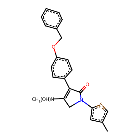 Cc1csc(N2CC(N(C)O)=C(c3ccc(OCc4ccccc4)cc3)C2=O)c1